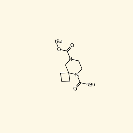 CC(C)(C)OC(=O)N1CCN(C(=O)C(C)(C)C)C2(CCC2)C1